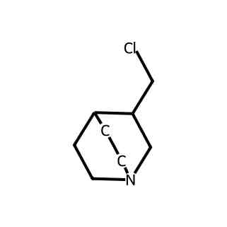 ClCC1CN2CCC1CC2